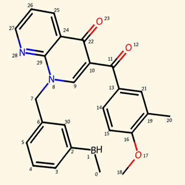 CBc1cccc(Cn2cc(C(=O)c3ccc(OC)c(C)c3)c(=O)c3cccnc32)c1